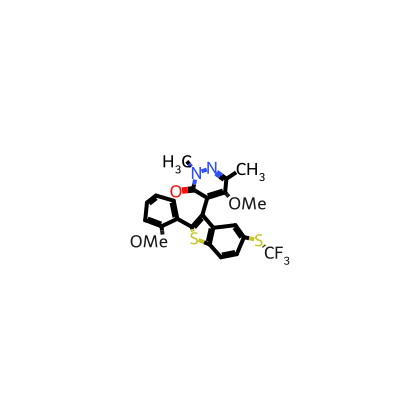 COc1ccccc1-c1sc2ccc(SC(F)(F)F)cc2c1-c1c(OC)c(C)nn(C)c1=O